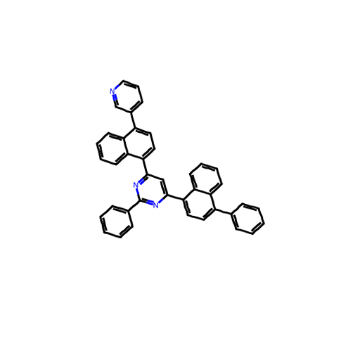 c1ccc(-c2nc(-c3ccc(-c4ccccc4)c4ccccc34)cc(-c3ccc(-c4cccnc4)c4ccccc34)n2)cc1